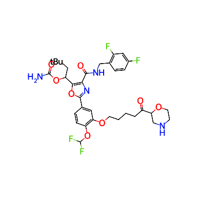 CC(C)(C)CC(OC(N)=O)c1oc(-c2ccc(OC(F)F)c(OCCCCC(=O)C3CNCCO3)c2)nc1C(=O)NCc1ccc(F)cc1F